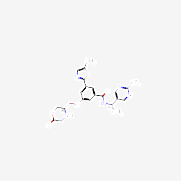 Cc1cnc(-c2cc(OC[C@@H]3COC(=O)CN3)cc(C(=O)N[C@H](C)c3cnc(C(F)(F)F)nc3)c2)s1